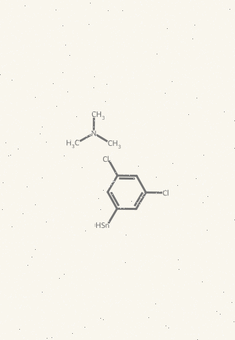 CN(C)C.Clc1cc(Cl)c[c]([SnH])c1